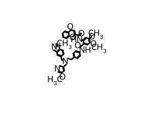 COc1cncc(CN(CCc2ccc(NC(=O)c3cc(OC)c(OC)cc3NC(=O)c3cc(=O)c4ccccc4o3)cc2)Cc2ccc3c(cnn3C)c2)c1